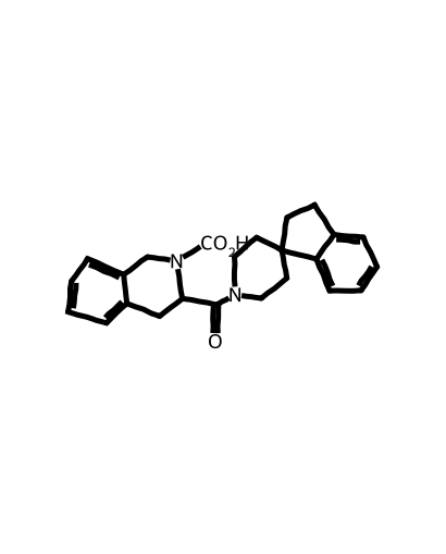 O=C(C1Cc2ccccc2CN1C(=O)O)N1CCC2(CCc3ccccc32)CC1